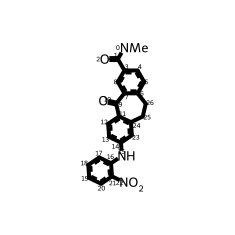 CNC(=O)c1ccc2c(c1)C(=O)c1ccc(Nc3ccccc3[N+](=O)[O-])cc1CC2